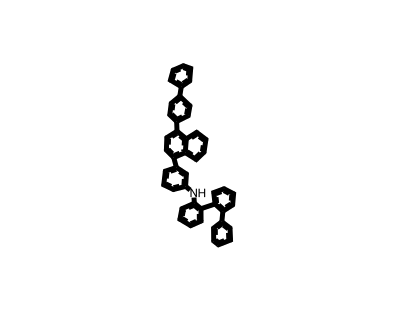 c1ccc(-c2ccc(-c3ccc(-c4cccc(Nc5ccccc5-c5ccccc5-c5ccccc5)c4)c4ccccc34)cc2)cc1